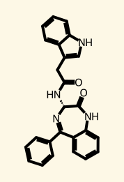 O=C(Cc1c[nH]c2ccccc12)N[C@H]1N=C(c2ccccc2)c2ccccc2NC1=O